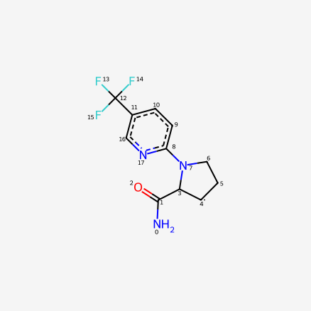 NC(=O)C1[CH]CCN1c1ccc(C(F)(F)F)cn1